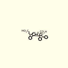 O=C(O)CCn1c2ccccc2c2cc(C(=O)NC3(CCC(=O)O)C(=O)N(c4ccccc4)c4ccccc43)ncc21